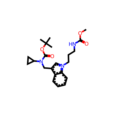 COC(=O)NCCCn1cc(CN(C(=O)OC(C)(C)C)C2CC2)c2ccccc21